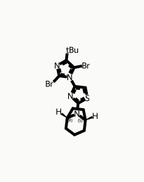 CC(C)(C)c1nc(Br)n(-c2csc(N3[C@@H]4CCC[C@H]3CC4)n2)c1Br